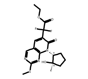 CCOC(=O)C(F)(F)c1cc2cnc(SC)nc2n([C@@H]2CCC[C@@]2(C)O)c1=O